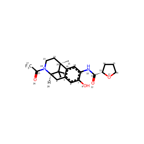 CC1(C)[C@H]2Cc3cc(O)c(NC(=O)[C@@H]4CCCO4)cc3[C@]1(C)CCN2C(=O)C(F)(F)F